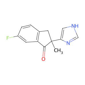 CC1(c2c[nH]cn2)Cc2ccc(F)cc2C1=O